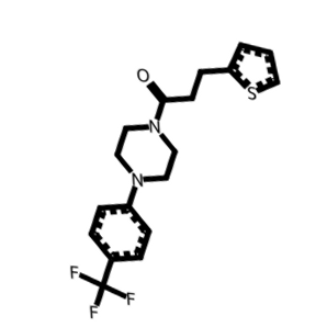 O=C(CCc1cccs1)N1CCN(c2ccc(C(F)(F)F)cc2)CC1